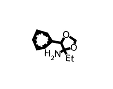 CCC1(N)OCOC1c1ccccc1